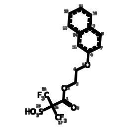 O=C(OCCOc1ccc2ccccc2c1)C(C(F)(F)F)(C(F)(F)F)S(=O)(=O)O